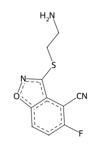 N#Cc1c(F)ccc2onc(SCCN)c12